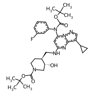 CC(C)(C)OC(=O)N1CC[C@@H](CNc2cc(N(C(=O)OC(C)(C)C)c3cccc(F)c3)n3ncc(C4CC4)c3n2)[C@H](O)C1